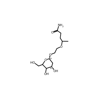 CC(CCC(N)=O)OCCO[C@H]1C[C@@H](O)C(O)C(CO)O1